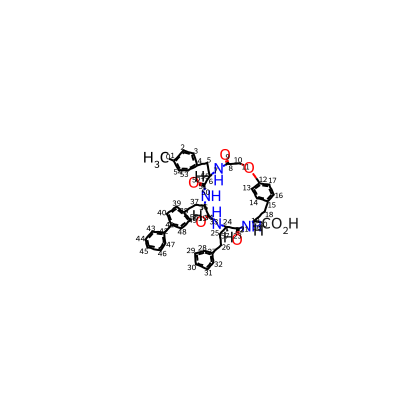 Cc1ccc(C[C@@H]2NC(=O)COc3ccc(cc3)C[C@@H](C(=O)O)NC(=O)[C@H](CCc3ccccc3)NC(=O)[C@@H](Cc3ccc(-c4ccccc4)cc3)NC2=O)cc1